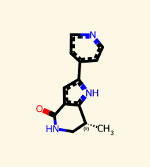 C[C@@H]1CNC(=O)c2cc(-c3ccncc3)[nH]c21